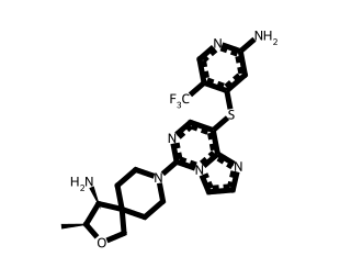 C[C@@H]1OCC2(CCN(c3ncc(Sc4cc(N)ncc4C(F)(F)F)c4nccn34)CC2)[C@@H]1N